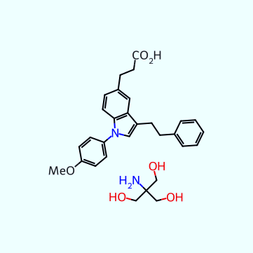 COc1ccc(-n2cc(CCc3ccccc3)c3cc(CCC(=O)O)ccc32)cc1.NC(CO)(CO)CO